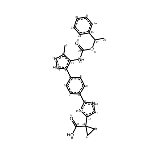 Cc1n[nH]c(-c2ccc(-c3ncc(C4(C(=O)O)CC4)s3)cc2)c1NC(=O)OC(C)c1ccccc1